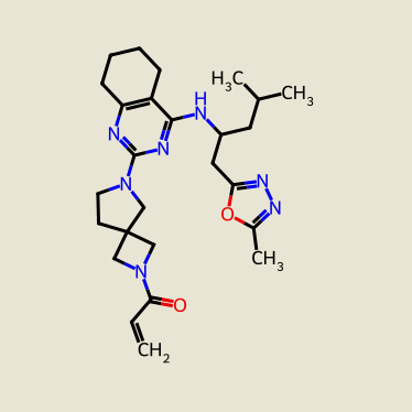 C=CC(=O)N1CC2(CCN(c3nc4c(c(NC(Cc5nnc(C)o5)CC(C)C)n3)CCCC4)C2)C1